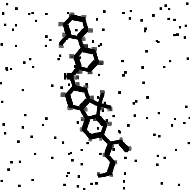 C=C/C(=C\C=C/C)c1ccc2c(c1)C(C)(C)c1cc(Nc3cccc(-c4ccccc4C)c3)ccc1-2